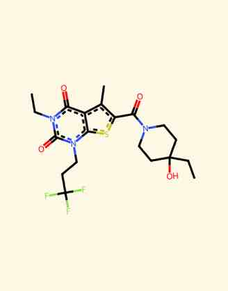 CCn1c(=O)c2c(C)c(C(=O)N3CCC(O)(CC)CC3)sc2n(CCC(F)(F)F)c1=O